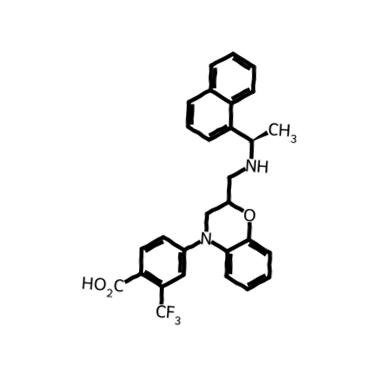 C[C@@H](NCC1CN(c2ccc(C(=O)O)c(C(F)(F)F)c2)c2ccccc2O1)c1cccc2ccccc12